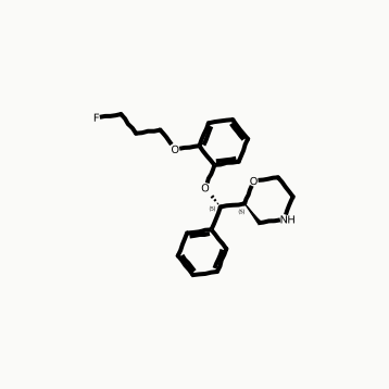 FCCCOc1ccccc1O[C@@H](c1ccccc1)[C@@H]1CNCCO1